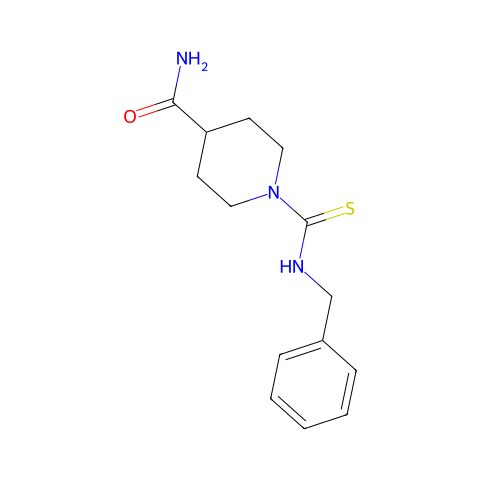 NC(=O)C1CCN(C(=S)NCc2ccccc2)CC1